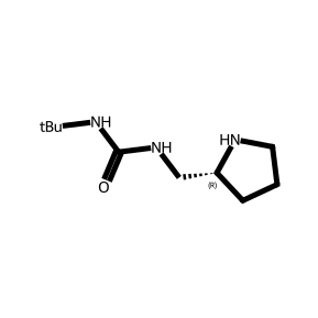 CC(C)(C)NC(=O)NC[C@H]1CCCN1